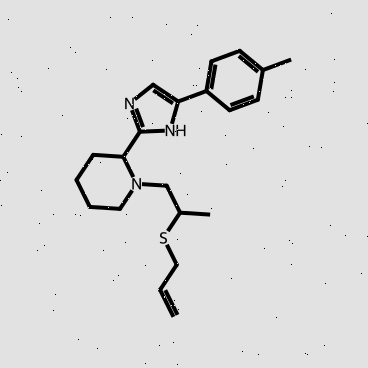 C=CCSC(C)CN1CCCCC1c1ncc(-c2ccc(C)cc2)[nH]1